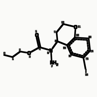 CCCOC(=O)N(N)C1CCOc2ccc(I)cc21